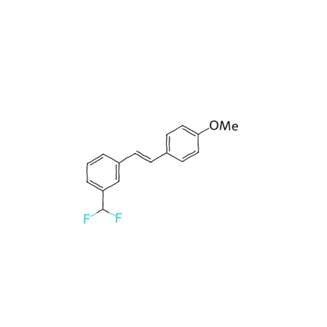 COc1ccc(C=Cc2cccc(C(F)F)c2)cc1